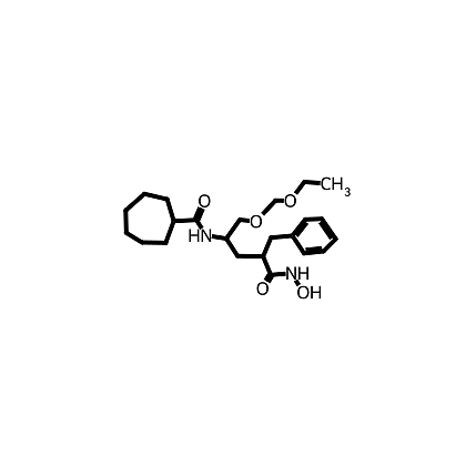 CCOCOCC(CC(Cc1ccccc1)C(=O)NO)NC(=O)C1CCCCCC1